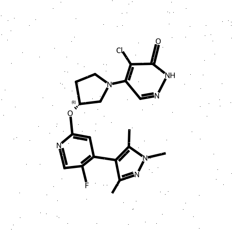 Cc1nn(C)c(C)c1-c1cc(O[C@@H]2CCN(c3cn[nH]c(=O)c3Cl)C2)ncc1F